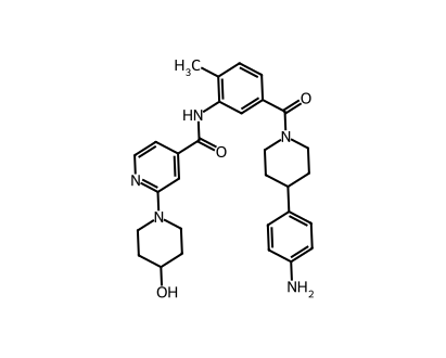 Cc1ccc(C(=O)N2CCC(c3ccc(N)cc3)CC2)cc1NC(=O)c1ccnc(N2CCC(O)CC2)c1